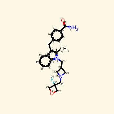 Cc1c(Cc2ccc(C(N)=O)cc2)c2ccccc2n1CC1CN(CC2(F)COC2)C1